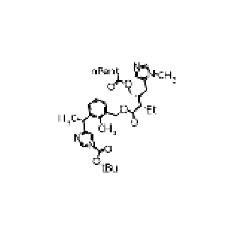 CCCCCC(=O)OC[C@H](Cc1cncn1C)[C@H](CC)C(=O)OCc1cccc([C@H](C)c2cn(C(=O)OC(C)(C)C)cn2)c1C